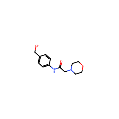 O=C(CN1CCOCC1)Nc1ccc(CO)cc1